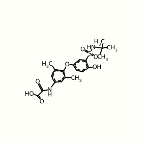 Cc1cc(NC(=O)C(=O)O)cc(C)c1Oc1ccc(O)c(S(=O)(=O)NC(C)(C)C)c1